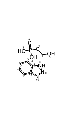 O=P(O)(O)OCO.c1ccc2[nH]nnc2c1